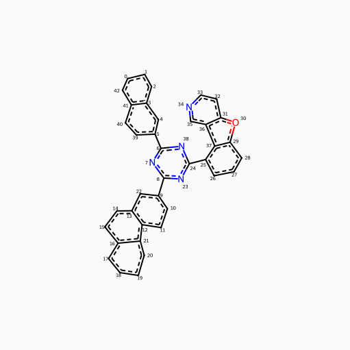 c1ccc2cc(-c3nc(-c4ccc5c(ccc6ccccc65)c4)nc(-c4cccc5oc6ccncc6c45)n3)ccc2c1